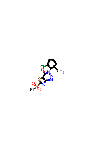 CCS(=O)(=O)c1nc2nnn(-c3c(C)cccc3Cl)c(=O)c2s1